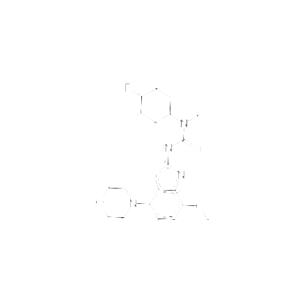 COc1ccc(N2CCOCC2)c2sc(NC(=O)N(C)C3CCC(F)CC3)nc12